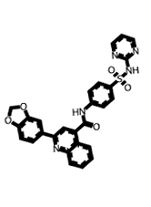 O=C(Nc1ccc(S(=O)(=O)Nc2ncccn2)cc1)c1cc(-c2ccc3c(c2)OCO3)nc2ccccc12